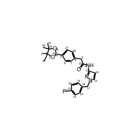 CC1(C)OB(c2ccc(CC(=O)Nc3ccn(Cc4ccc(F)cc4)n3)cc2)OC1(C)C